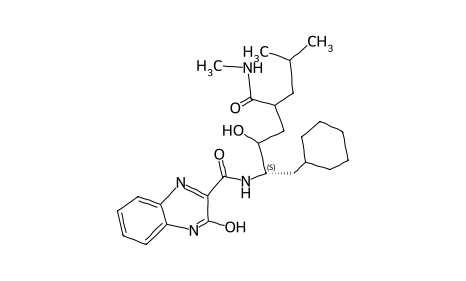 CNC(=O)C(CC(C)C)CC(O)[C@H](CC1CCCCC1)NC(=O)c1nc2ccccc2nc1O